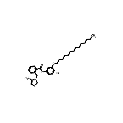 Br.CCCCCCCCCCCCCCOc1cccc(NC(=O)c2ccccc2CN2CSC=C2C)c1